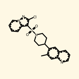 Cc1cc2ncccc2cc1C1CCN(S(=O)(=O)c2c(Cl)nn3ccccc23)CC1